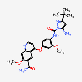 COc1cc(Oc2ccnc3cc(OC)c(C(N)=O)cc23)ccc1NC(=O)n1nc(C(C)(C)C)cc1N